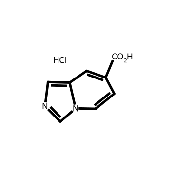 Cl.O=C(O)c1ccn2cncc2c1